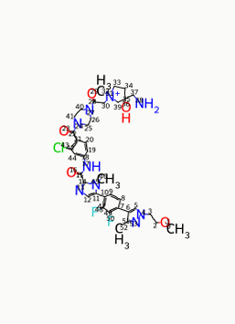 COCCn1cc(-c2ccc(-c3cnc(C(=O)Nc4ccc(C(=O)N5CCN(C(=O)C[N+]6(C)CCC(O)(CN)C6)CC5)c(Cl)c4)n3C)c(F)c2F)c(C)n1